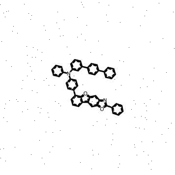 c1ccc(-c2ccc(-c3cccc(N(c4ccccc4)c4ccc(-c5cccc6c5oc5cc7nc(-c8ccccc8)oc7cc56)cc4)c3)cc2)cc1